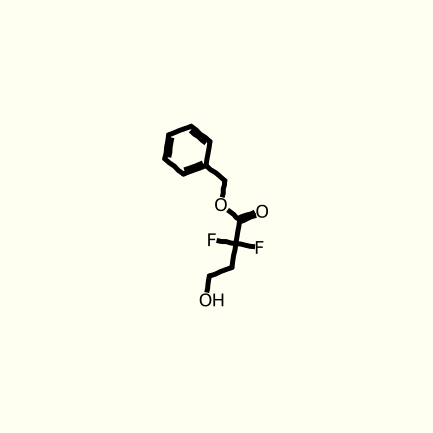 O=C(OCc1ccccc1)C(F)(F)CCO